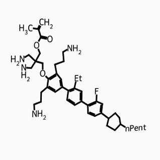 C=C(C)C(=O)OCC(CN)(CN)COc1c(CCCN)cc(-c2ccc(-c3ccc(C4CCC(CCCCC)CC4)cc3F)cc2CC)cc1CCCN